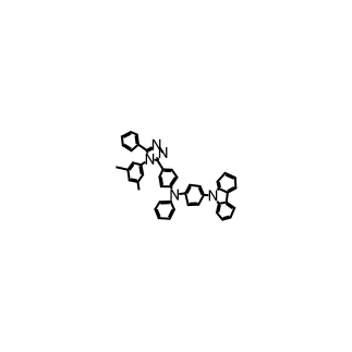 Cc1cc(C)cc(-n2c(-c3ccccc3)nnc2-c2ccc(N(c3ccccc3)c3ccc(-n4c5ccccc5c5ccccc54)cc3)cc2)c1